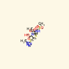 CCS(=O)(=O)CC(=O)N[C@]1(OC)C(=O)N2C(C(=O)O)=C(CSc3nnnn3C)CS[C@H]21